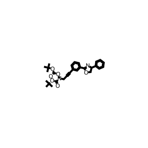 CC(C)(C)OC(=O)ON(CC#Cc1cccc(C2=NC(c3ccccc3)CO2)c1)C(=O)OC(C)(C)C